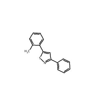 Cc1ccccc1-c1[c]c(-c2ccccc2)ns1